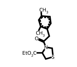 CCOC(=O)C1CSCN1C(=O)Cc1ccc(C)cc1C